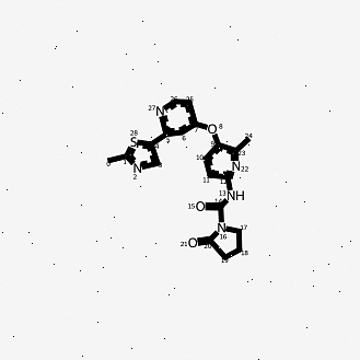 Cc1ncc(-c2cc(Oc3ccc(NC(=O)N4CCCC4=O)nc3C)ccn2)s1